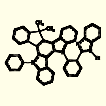 CCn1c(-c2ccccc2-n2c3ccccc3c3c4c(c5c(c6ccccc6n5-c5ccccc5)c32)-c2ccccc2C4(C)C)nc2ccccc21